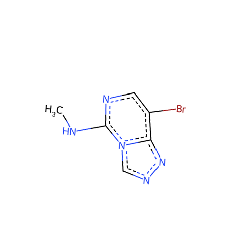 CNc1ncc(Br)c2nncn12